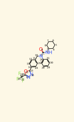 O=C(NC1CCCCC1)N(Cc1ccc(-c2nnc(C(F)(F)F)o2)cc1)c1ccccc1